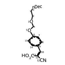 CCCCCCCCCCCCOCOc1ccc(C=C(C#N)C(=O)O)cc1